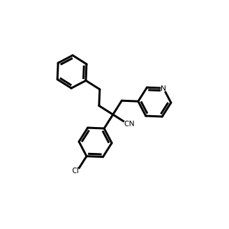 N#CC(CCc1ccccc1)(Cc1cccnc1)c1ccc(Cl)cc1